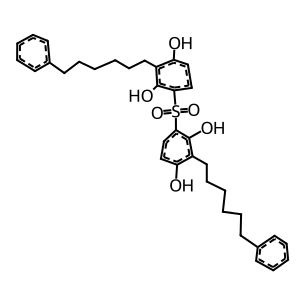 O=S(=O)(c1ccc(O)c(CCCCCCc2ccccc2)c1O)c1ccc(O)c(CCCCCCc2ccccc2)c1O